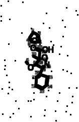 C1CC2CC1O2.COC1C(c2ccccc2)=NOC1(C)C(=O)O